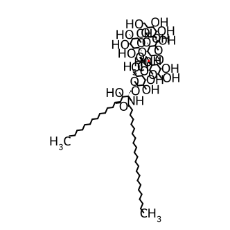 CCCCCCCCCCCCC/C=C/[C@@H](O)[C@H](CO[C@@H]1OC(CO)[C@@H](O[C@@H]2OC(CO)[C@H](O)[C@H](O[C@@H]3OC(CO)[C@@H](O[C@@H]4OC(CO)[C@H](O)[C@H](O)C4O)[C@H](O[C@H]4OC(C)[C@@H](O)C(O)[C@@H]4O)C3NC(C)=O)C2O)[C@H](O)C1O)NC(=O)CCCCCCCCCCCCCCCCCCCCCCC